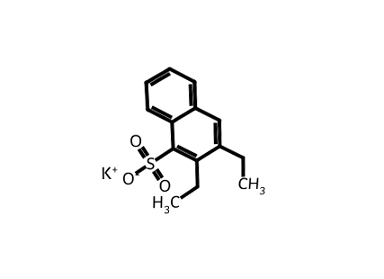 CCc1cc2ccccc2c(S(=O)(=O)[O-])c1CC.[K+]